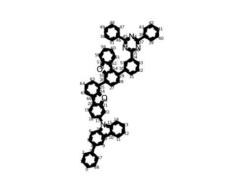 c1ccc(-c2ccc3c(c2)c2ccccc2n3-c2ccc3c(c2)oc2c(-c4ccc(-c5cccc(-c6nc(-c7ccccc7)nc(-c7ccccc7)n6)c5)c5c4oc4ccccc45)cccc23)cc1